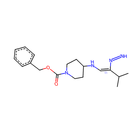 CC(C)/C(=C/NC1CCN(C(=O)OCc2ccccc2)CC1)N=N